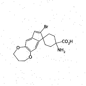 NC1(C(=O)O)CCC2(CC1)C(Br)=Cc1cc3c(cc12)OCCCO3